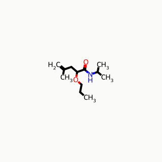 C=C(C)CC(OCCC)C(=O)NC(C)C